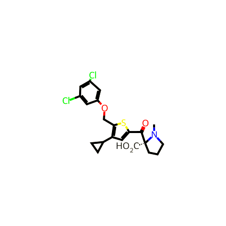 CN1CCC[C@@]1(C(=O)O)C(=O)c1cc(C2CC2)c(COc2cc(Cl)cc(Cl)c2)s1